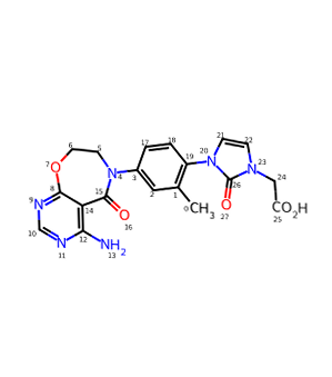 Cc1cc(N2CCOc3ncnc(N)c3C2=O)ccc1-n1ccn(CC(=O)O)c1=O